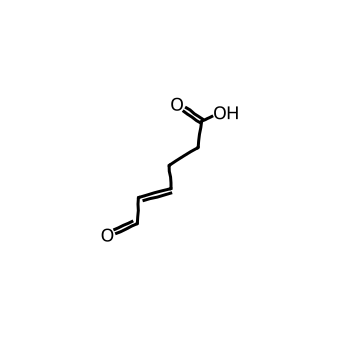 O=C/C=C/CCC(=O)O